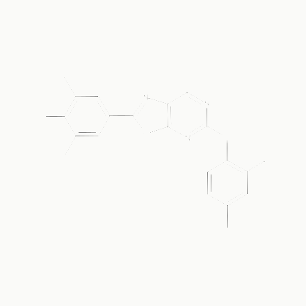 Cc1ccc(Oc2ncc3nc(-c4cc(C)c([O])c(C)c4)oc3n2)c(F)c1